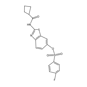 O=C(Nc1nc2ccc(OS(=O)(=O)c3ccc(F)cc3)cc2s1)C1CCC1